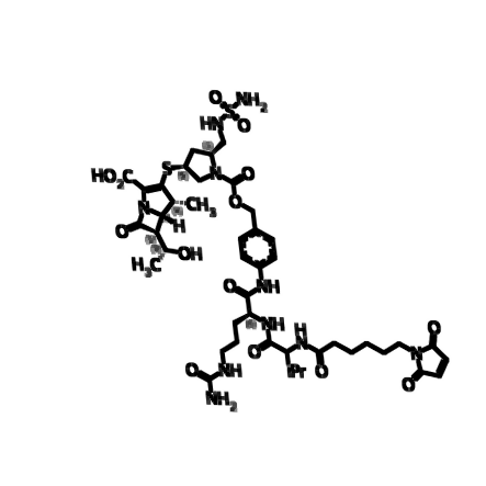 CC(C)C(NC(=O)CCCCCN1C(=O)C=CC1=O)C(=O)N[C@@H](CCCNC(N)=O)C(=O)Nc1ccc(COC(=O)N2C[C@@H](SC3=C(C(=O)O)N4C(=O)[C@H]([C@@H](C)O)[C@H]4[C@H]3C)C[C@H]2CNS(N)(=O)=O)cc1